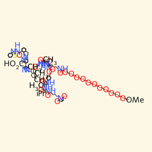 COCCOCCOCCOCCOCCOCCOCCOCCOCCOCCOCCOCC(=O)NCCCC[C@@H](NC(=O)OCc1ccc(NC(=O)[C@H](C)NC(=O)[C@@H](NC(=O)CCCCCN2C(=O)C=CC2=O)C(C)C)cc1)C(=O)N[C@H](C)C(=O)NCCOC12CC(Cn3ncc(-c4ccc(N5CCc6cccc(C(=O)Nc7nc8ccccc8s7)c6C5)nc4C(=O)O)c3C)C3CCC(C)(C1)CC3(C)C2